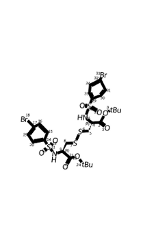 CC(C)(C)OC(=O)[C@H](CSSC[C@H](NS(=O)(=O)c1ccc(Br)cc1)C(=O)OC(C)(C)C)NS(=O)(=O)c1ccc(Br)cc1